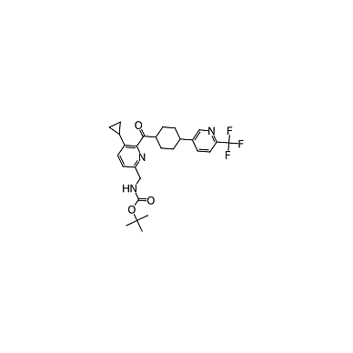 CC(C)(C)OC(=O)NCc1ccc(C2CC2)c(C(=O)C2CCC(c3ccc(C(F)(F)F)nc3)CC2)n1